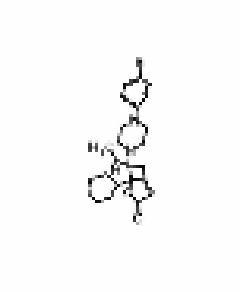 C[C@@H]1N2CCCC[C@@H]2[C@@]23OC(=O)C=C2CC13N1CCN(c2ccc(Br)cc2)CC1